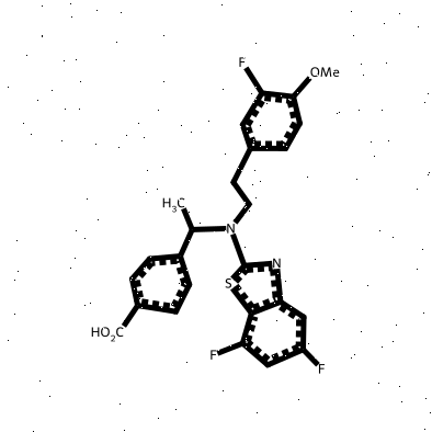 COc1ccc(CCN(c2nc3cc(F)cc(F)c3s2)C(C)c2ccc(C(=O)O)cc2)cc1F